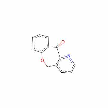 O=C1c2ccccc2OCc2cccnc21